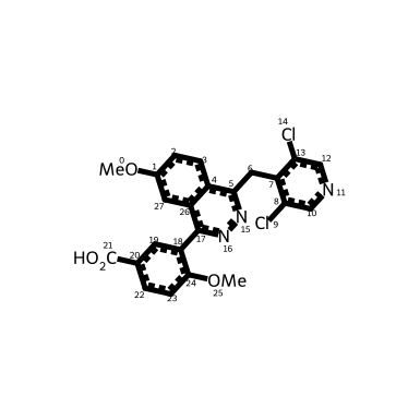 COc1ccc2c(Cc3c(Cl)cncc3Cl)nnc(-c3cc(C(=O)O)ccc3OC)c2c1